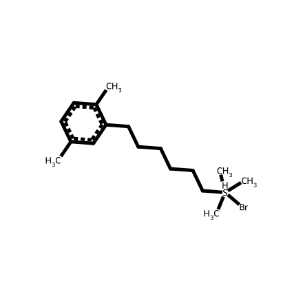 Cc1ccc(C)c(CCCCCC[SH](C)(C)(C)Br)c1